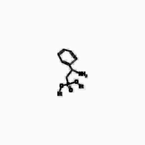 CCOP(=O)(CC(N)c1ccccc1)OCC